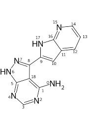 Nc1ncnc2[nH]nc(-c3cc4cccnc4[nH]3)c12